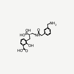 NCc1cccc(CC(=O)NC[C@@H](Cc2cccc(C(=O)O)c2O)B(O)O)c1